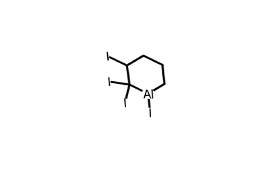 IC1CC[CH2][Al]([I])[C]1(I)I